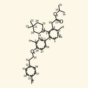 Cc1nc(-c2cnc(C)c(CC(=O)OC(C)C)c2N2CCC(C)(C)CC2)ccc1OCCc1ccc(F)cc1